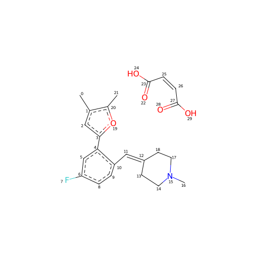 Cc1cc(-c2cc(F)ccc2C=C2CCN(C)CC2)oc1C.O=C(O)/C=C\C(=O)O